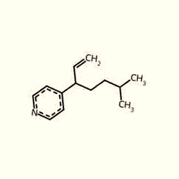 C=CC(CCC(C)C)c1ccncc1